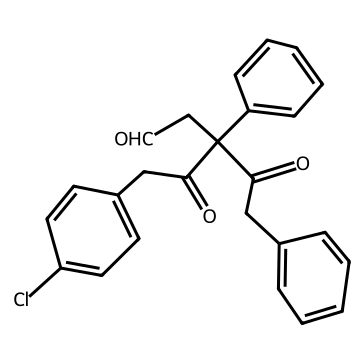 O=CCC(C(=O)Cc1ccccc1)(C(=O)Cc1ccc(Cl)cc1)c1ccccc1